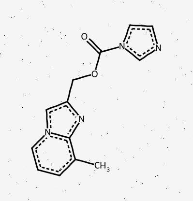 Cc1cccn2cc(COC(=O)n3ccnc3)nc12